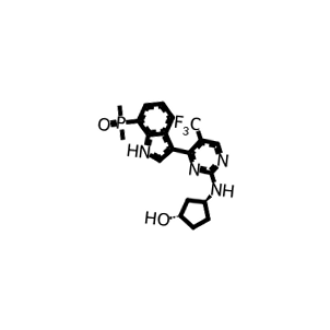 CP(C)(=O)c1cccc2c(-c3nc(N[C@H]4CC[C@H](O)C4)ncc3C(F)(F)F)c[nH]c12